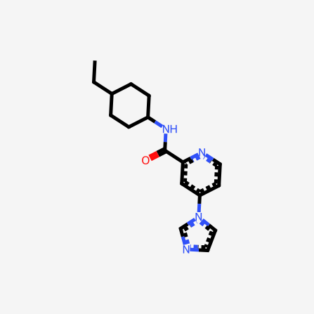 CCC1CCC(NC(=O)c2cc(-n3ccnc3)ccn2)CC1